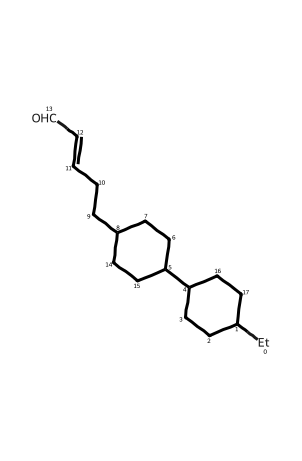 CCC1CCC(C2CCC(CCC=CC=O)CC2)CC1